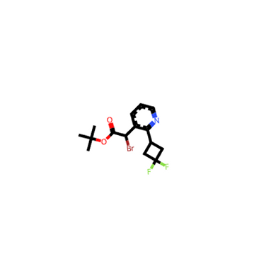 CC(C)(C)OC(=O)C(Br)c1cccnc1C1CC(F)(F)C1